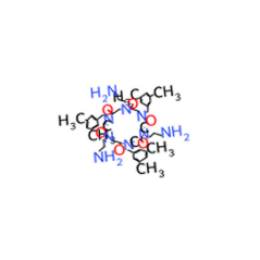 Cc1cc(C)cc(CN2CC(=O)N(CCCN)CC(=O)N(Cc3cc(C)cc(C)c3)CC(=O)N(CCCN)CC(=O)N(Cc3cc(C)cc(C)c3)CC(=O)N(CCCN)CC2=O)c1